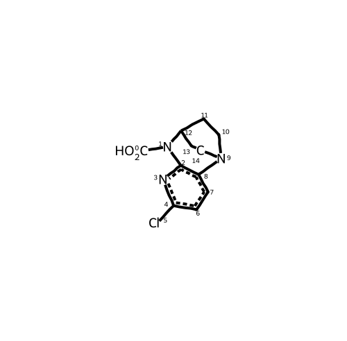 O=C(O)N1c2nc(Cl)ccc2N2CCC1CC2